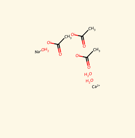 CC(=O)[O-].CC(=O)[O-].CC(=O)[O-].O.O.O.[Ca+2].[Na+]